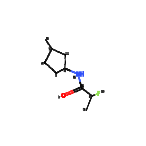 CC1CCC(NC(=O)C(C)F)C1